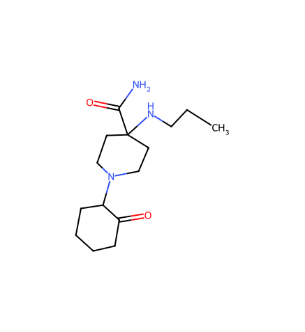 CCCNC1(C(N)=O)CCN(C2CCCCC2=O)CC1